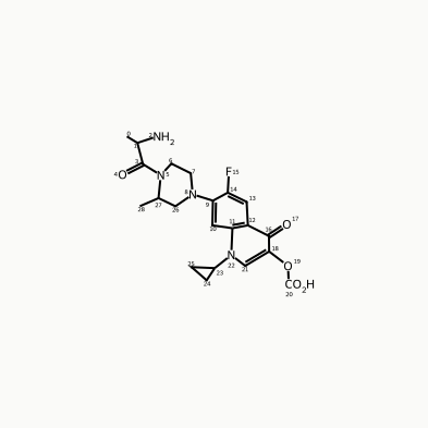 CC(N)C(=O)N1CCN(c2cc3c(cc2F)c(=O)c(OC(=O)O)cn3C2CC2)CC1C